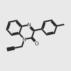 C#CCn1c(=O)c(-c2ccc(C)cc2)nc2ccccc21